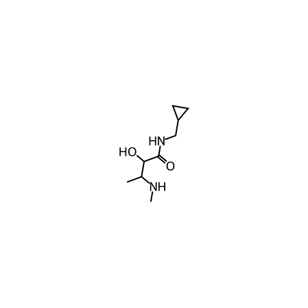 CNC(C)C(O)C(=O)NCC1CC1